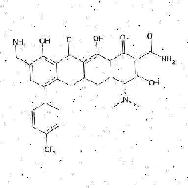 CN(C)[C@H]1C(O)=C(C(N)=O)C(=O)C2C(O)=C3C(=O)c4c(O)c(CN)cc(C5C=CC(C(F)(F)F)=CC5)c4CC3CC21